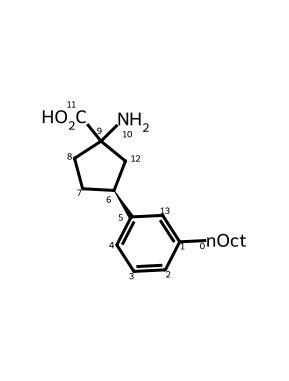 CCCCCCCCc1cccc([C@H]2CCC(N)(C(=O)O)C2)c1